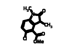 COC(=O)c1c(Cl)ccc2c1C(C)C(=O)N2C